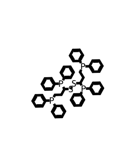 c1ccc(P(CCC(SSC(CCP(c2ccccc2)c2ccccc2)P(c2ccccc2)c2ccccc2)P(c2ccccc2)c2ccccc2)c2ccccc2)cc1